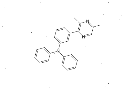 Cc1cnc(-c2cccc(N(c3ccccc3)c3ccccc3)c2)c(C)n1